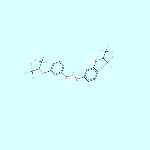 FC(F)(F)C(Oc1cccc(OBOc2cccc(OC(C(F)(F)F)C(F)(F)F)c2)c1)C(F)(F)F